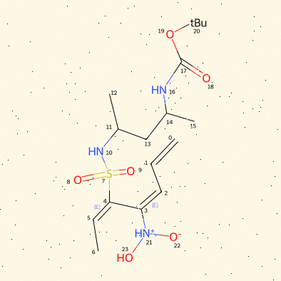 C=C/C=C(\C(=C/C)S(=O)(=O)NC(C)CC(C)NC(=O)OC(C)(C)C)[NH+]([O-])O